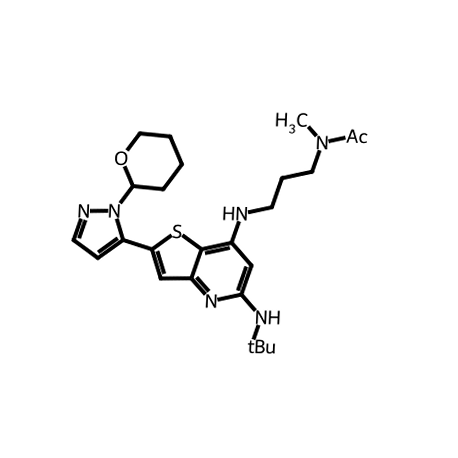 CC(=O)N(C)CCCNc1cc(NC(C)(C)C)nc2cc(-c3ccnn3C3CCCCO3)sc12